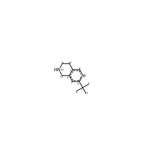 CC(C)(C)c1cc2c(cn1)CCNC2